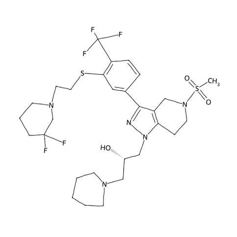 CS(=O)(=O)N1CCc2c(c(-c3ccc(C(F)(F)F)c(SCCN4CCCC(F)(F)C4)c3)nn2C[C@@H](O)CN2CCCCC2)C1